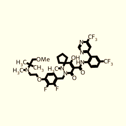 COCC(C)(C)N(C)CCOc1ccc(CN2C(=O)C(C(=O)Nc3ccc(C(F)(F)F)cc3-c3cc(C(F)(F)F)ncn3)=C(O)C3(CCCC3)N2C)c(F)c1F